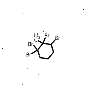 CC1(Br)C(Br)CCCC1(Br)Br